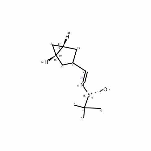 CC(C)(C)[S@@+]([O-])/N=C/C1C[C@@H]2C[C@@H]2C1